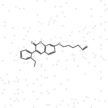 C=CCCCCOc1ccc2cc(-c3ccccc3CC)c(=O)oc2c1